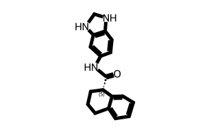 O=C(Nc1ccc2c(c1)NCN2)[C@H]1CCCc2ccccc21